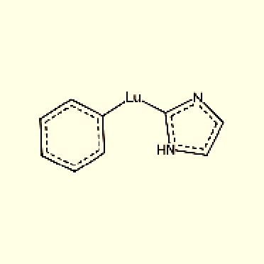 c1cc[c]([Lu][c]2ncc[nH]2)cc1